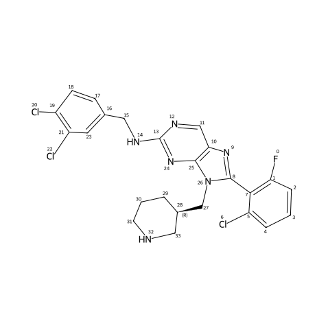 Fc1cccc(Cl)c1-c1nc2cnc(NCc3ccc(Cl)c(Cl)c3)nc2n1C[C@@H]1CCCNC1